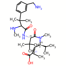 CNC(C(=O)N[C@H](C(=O)N(C)[C@H](/C=C(\C)C(=O)O)C(C)C)C(C)(C)C)C(C)(C)c1cccc(CN)c1